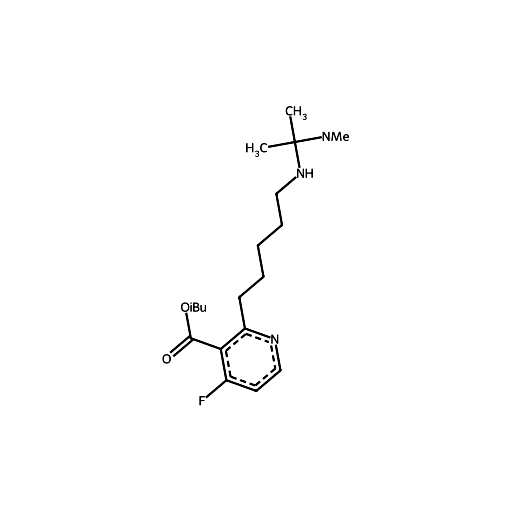 CNC(C)(C)NCCCCCc1nccc(F)c1C(=O)OCC(C)C